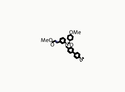 COC(=O)/C=C/c1cccc(N(Cc2ccc(-c3ccc(N(C)C)cc3)cc2)C(=O)[C@H]2CC[C@@H](OC)CC2)c1